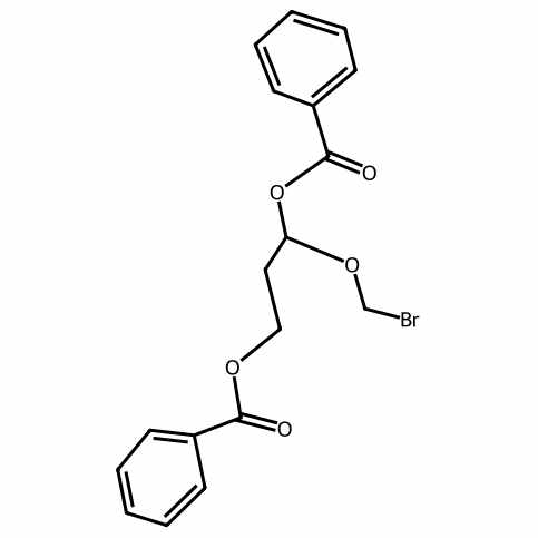 O=C(OCCC(OCBr)OC(=O)c1ccccc1)c1ccccc1